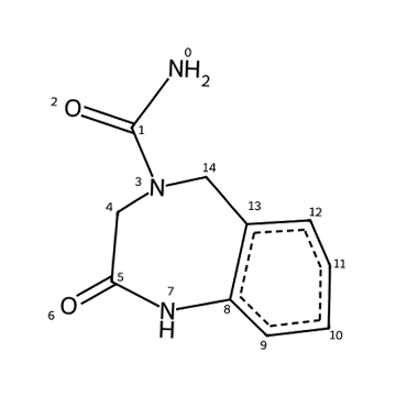 NC(=O)N1CC(=O)Nc2ccccc2C1